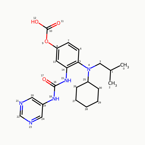 CC(C)CN(c1ccc(OC(=O)O)cc1NC(=O)Nc1cncnc1)C1CCCCC1